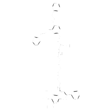 Oc1cc2oc(-c3ccccc3)cc(=NCCOCCOCCNCC(O)COc3ccc(OCCc4ccccc4)c(OCCc4ccccc4)c3)c2c(O)c1O